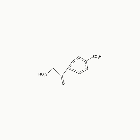 O=C(CS(=O)(=O)O)c1ccc(S(=O)(=O)O)cc1